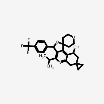 CC(C)c1nc2c(c3c1C(c1ccc(C(F)(F)F)cc1)OC31CCOCC1)C(O)CC1(CC1)C2